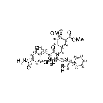 COC(=O)c1cc(CN(C(=O)[C@@H](N)Cc2c(C)cc(C(N)=O)cc2C)[C@@H](C)c2nc(-c3ccccc3)c[nH]2)ccc1OC